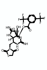 N=C1N[C@H]2[C@H](CN3C(=O)CSC3=O)NC(=N)N3C[C@H](OC(=O)c4cc(C(F)(F)F)ccc4C(F)(F)F)C(O)(O)[C@]23N1